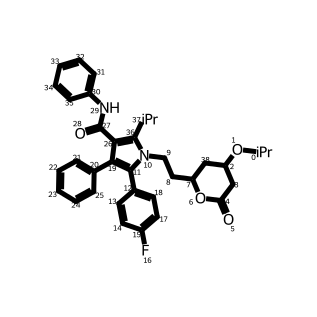 CC(C)OC1CC(=O)OC(CCn2c(-c3ccc(F)cc3)c(-c3ccccc3)c(C(=O)Nc3ccccc3)c2C(C)C)C1